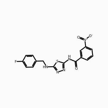 O=C(Nc1nnc(NCc2ccc(F)cc2)s1)c1cccc([N+](=O)[O-])c1